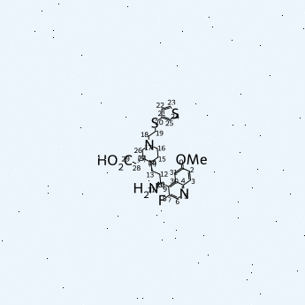 COc1ccc2ncc(F)c([C@@H](N)CC[C@@H]3CCN(CCSc4ccsc4)C[C@H]3CC(=O)O)c2c1